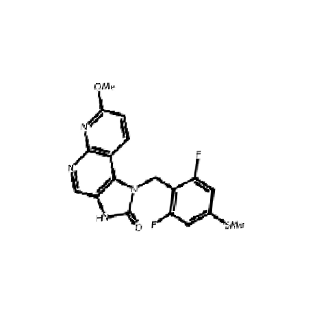 COc1ccc2c(ncc3[nH]c(=O)n(Cc4c(F)cc(SC)cc4F)c32)n1